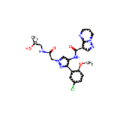 COc1ccc(Cl)cc1-c1nn(CC(=O)NC[C@H](C)O)cc1NC(=O)c1cnn2cccnc12